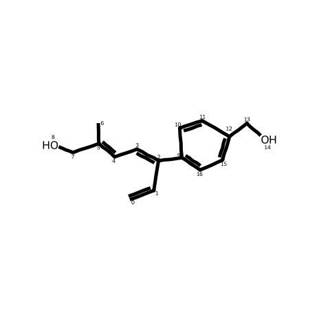 C=C/C(=C\C=C(/C)CO)c1ccc(CO)cc1